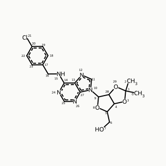 CC1(C)OC2C(CO)OC(n3cnc4c(NCc5ccc(Cl)cc5)ncnc43)C2O1